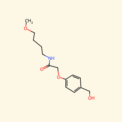 COCCCCNC(=O)COc1ccc(CO)cc1